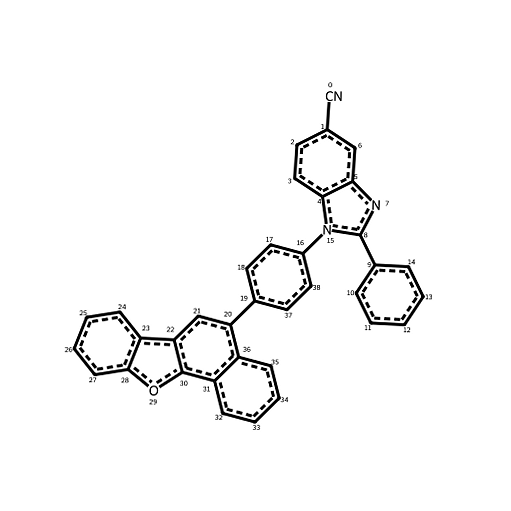 N#Cc1ccc2c(c1)nc(-c1ccccc1)n2-c1ccc(-c2cc3c4ccccc4oc3c3ccccc23)cc1